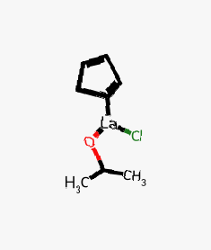 CC(C)[O][La]([Cl])[C]1=CC=CC1